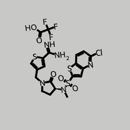 CN([C@H]1CCN(Cc2csc(C(=N)N)c2)C1=O)S(=O)(=O)c1cc2nc(Cl)ccc2s1.O=C(O)C(F)(F)F